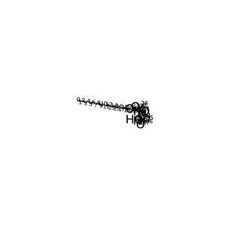 CCC=CCC=CCC=CCC=CCC=CCCCCOCC(=O)NC(CC(C)C)C(=O)Oc1ccccc1C(=O)O